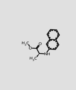 COC(=O)[C@H](C)Nc1ccc2ccccc2c1